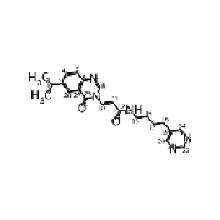 CC(C)c1ccc2ncn(C=CC(=O)NCCCCc3cncnc3)c(=O)c2c1